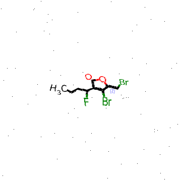 CCCC(F)C1=C(Br)/C(=C/Br)OC1=O